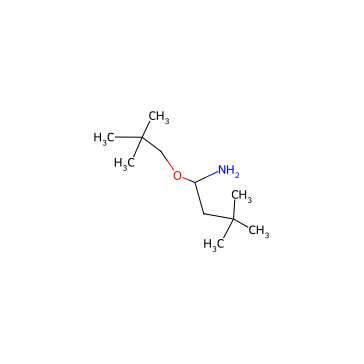 CC(C)(C)COC(N)CC(C)(C)C